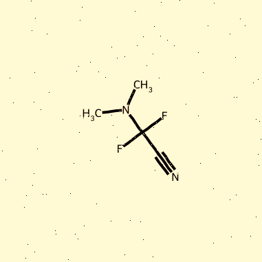 CN(C)C(F)(F)C#N